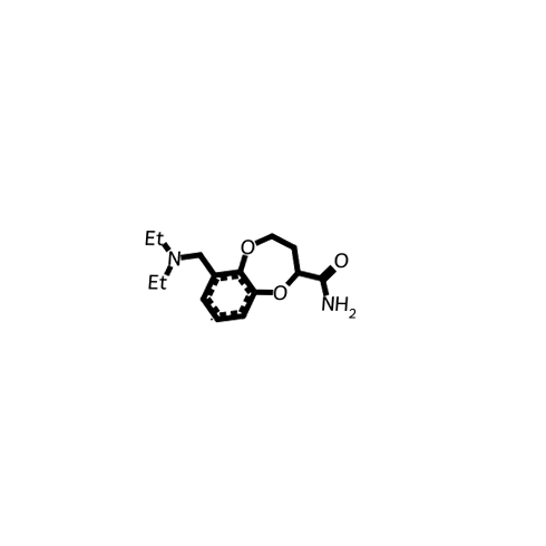 CCN(CC)Cc1c[c]cc2c1OCCC(C(N)=O)O2